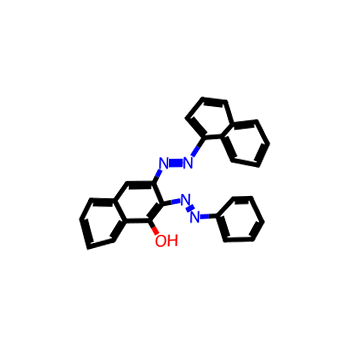 Oc1c(N=Nc2ccccc2)c(N=Nc2cccc3ccccc23)cc2ccccc12